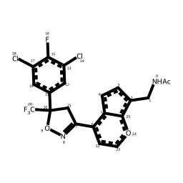 CC(=O)NCc1ccc2c(C3=NOC(c4cc(Cl)c(F)c(Cl)c4)(C(F)(F)F)C3)ccoc1-2